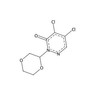 O=c1c(Cl)c(Cl)cnn1C1COCCO1